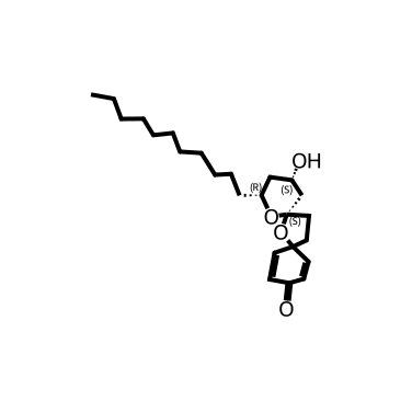 CCCCCCCCCCC[C@@H]1C[C@H](O)C[C@@]2(CCC3(C=CC(=O)C=C3)O2)O1